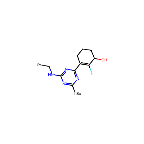 CCCCc1nc(NCC(C)C)nc(C2=C(F)C(O)CCC2)n1